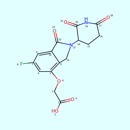 O=C(O)COc1cc(F)cc2c1CN(C1CCC(=O)NC1=O)C2=O